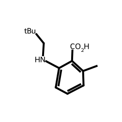 Cc1cccc(NCC(C)(C)C)c1C(=O)O